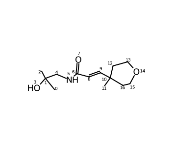 CC(C)(O)CNC(=O)/C=C/C1(C)CCOCC1